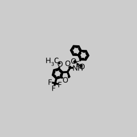 COc1ccc(C(F)(F)F)c2c1C(C(=O)NS(=O)(=O)c1cccc3ccccc13)CO2